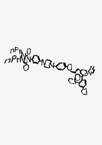 CCCn1c(=O)n(-c2ccc(N3CCN(c4ccc(OCC5COC(Cn6ccnc6)(c6ccc(Cl)cc6Cl)O5)cc4)CC3)cc2)c(=O)n1CCC